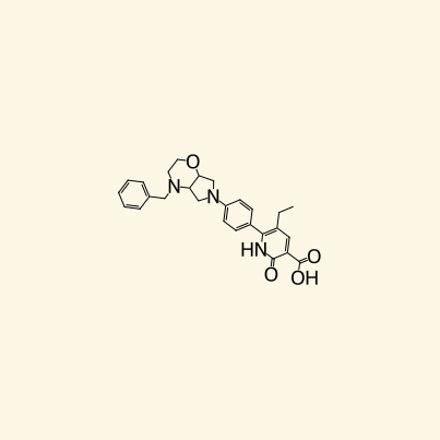 CCc1cc(C(=O)O)c(=O)[nH]c1-c1ccc(N2CC3OCCN(Cc4ccccc4)C3C2)cc1